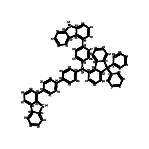 c1ccc(C2(c3ccccc3)c3ccccc3-c3c(N(c4ccc(-c5ccc(-c6cccc7c6sc6ccccc67)cc5)cc4)c4ccc(-c5cccc6sc7ccccc7c56)cc4)cccc32)cc1